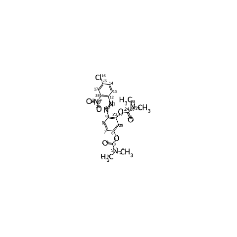 CN(C)C(=O)Oc1ccc(N=Nc2ccc(Cl)cc2[N+](=O)[O-])c(OC(=O)N(C)C)c1